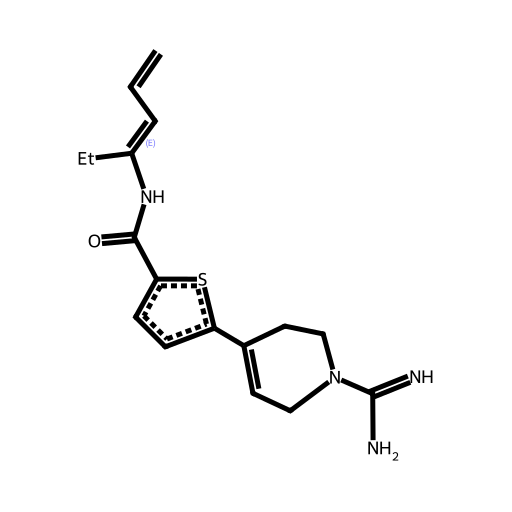 C=C/C=C(\CC)NC(=O)c1ccc(C2=CCN(C(=N)N)CC2)s1